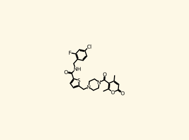 Cc1cc(=O)oc(C)c1C(=O)N1CCN(Cc2ccc(C(=O)NCc3ccc(Cl)cc3F)s2)CC1